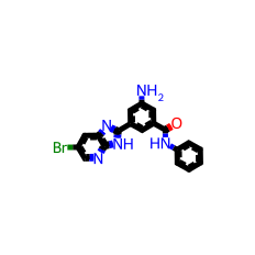 Nc1cc(C(=O)Nc2ccccc2)cc(-c2nc3cc(Br)cnc3[nH]2)c1